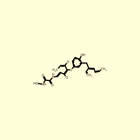 C=C/C(=C\C=C/C)Cc1cc(OC(=C(Cl)/C=C/NC(=O)C(=O)NO)/C(Cl)=C\C)ccc1O